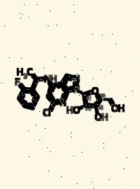 CC(Nc1cc(Cl)nc2c1cnn2[C@@H]1O[C@H](CO)[C@@H](O)[C@H]1O)c1ccccc1F